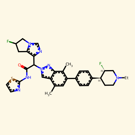 CCN1CC[C@@H](c2ccc(-c3cc(C)c4cn(C(C(=O)Nc5nccs5)c5ncn6c5CC(F)C6)nc4c3C)cc2)[C@H](F)C1